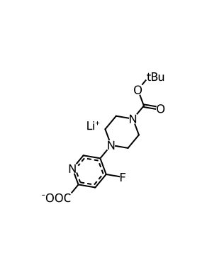 CC(C)(C)OC(=O)N1CCN(c2cnc(C(=O)[O-])cc2F)CC1.[Li+]